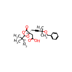 CC(C)(C#CC[C@]1(CC(=O)O)OC(C(C)(C)C)OC1=O)OCc1ccccc1